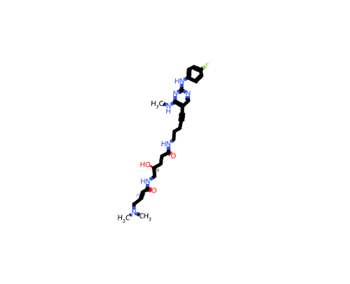 CNc1nc(Nc2ccc(F)cc2)ncc1C#CCCCNC(=O)CC[C@H](O)CNC(=O)/C=C/CN(C)C